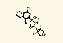 C=Nc1c(/C=C\C)cc(C)nc1C(C)(C)NC(=O)[C@H]1[C@@H]2CNC[C@@H]21